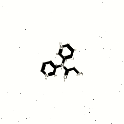 CC(C)CC(=O)N(c1cccnc1)c1cccnc1